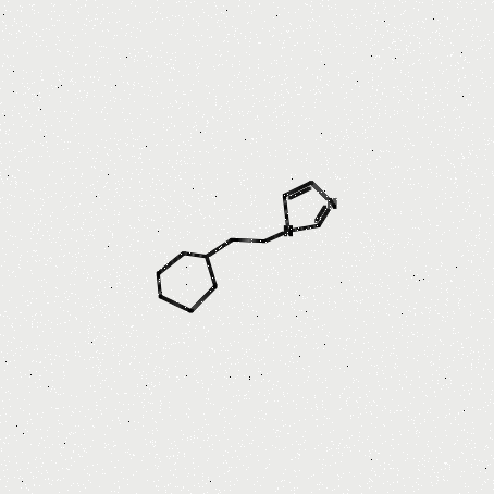 c1cn(CCC2CCCCC2)cn1